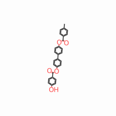 Cc1ccc(C(=O)Oc2ccc(-c3ccc(OC(=O)c4ccc(O)cc4)cc3)cc2)cc1